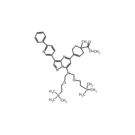 COC(=O)C1(C)CC=C(c2cc(N(COCC[Si](C)(C)C)COCC[Si](C)(C)C)n3ncc(-c4ccc(-c5ccccc5)nc4)c3n2)CC1